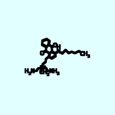 CCCCCCCNc1ccc(CCC[N+](C)(CCN)CCN)c2c1C(=O)c1ccccc1C2=O